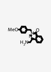 COc1ccc(Cn2nc(CN)c3ccccc3c2=O)cc1